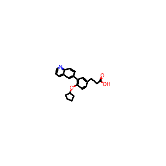 O=C(O)CCc1ccc(OC2CCCC2)c(-c2ccc3ncccc3c2)c1